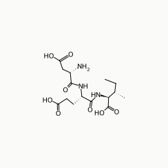 CC[C@H](C)[C@H](NC(=O)[C@H](CCC(=O)O)NC(=O)[C@@H](N)CC(=O)O)C(=O)O